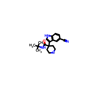 CC(C)(C)NC(=O)C1(c2c[nH]c3ccc(C#N)cc23)CC[N]CC1